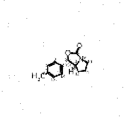 Cc1ccc([C@@H]2OC(=O)N3CCC[C@@H]23)cc1